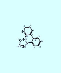 [c]1ccc2c(n1)N1SN=NN1c1ccccc1-2